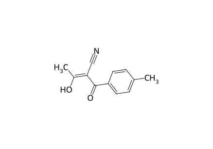 C/C(O)=C(\C#N)C(=O)c1ccc(C)cc1